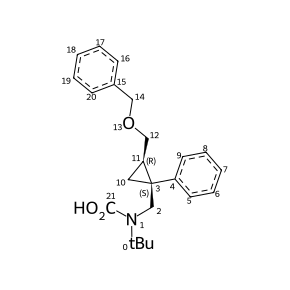 CC(C)(C)N(C[C@@]1(c2ccccc2)C[C@H]1COCc1ccccc1)C(=O)O